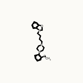 COc1ccccc1N1CCN(CCCCN2COc3ccccc32)CC1